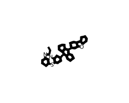 CCc1nc2cccc3c2n1-c1cc(-c2c4ccccc4c(-c4ccc5c(c4)oc4ccccc45)c4ccccc24)ccc1S3